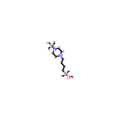 CO[Si](C)(C)CCCCN1CCN([Si](C)(C)C)CC1